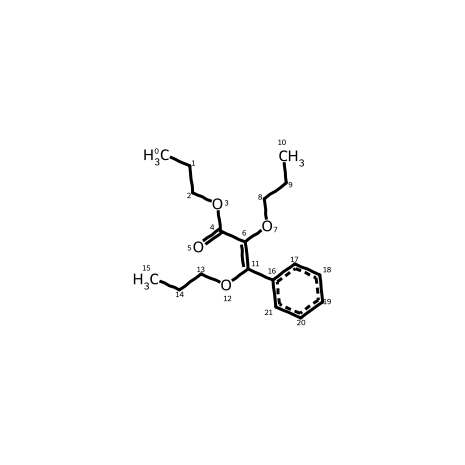 CCCOC(=O)C(OCCC)=C(OCCC)c1ccccc1